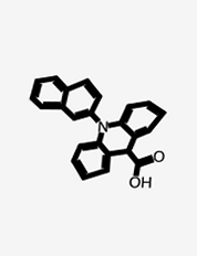 O=C(O)C1c2ccccc2N(c2ccc3ccccc3c2)c2ccccc21